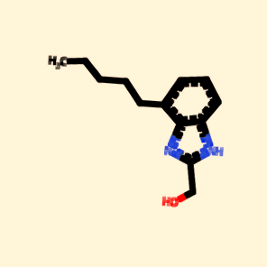 CCCCCc1cccc2[nH]c(CO)nc12